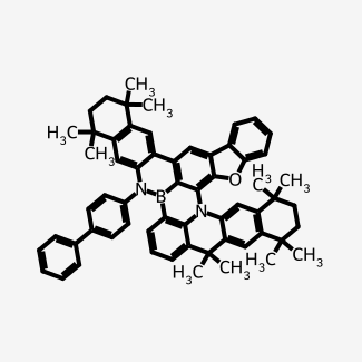 CC1(C)CCC(C)(C)c2cc3c(cc21)-c1cc2c(oc4ccccc42)c2c1B(c1cccc4c1N2c1cc2c(cc1C4(C)C)C(C)(C)CCC2(C)C)N3c1ccc(-c2ccccc2)cc1